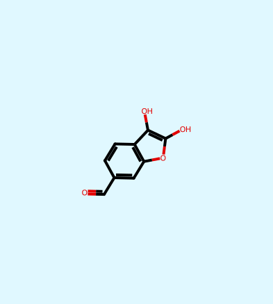 O=Cc1ccc2c(O)c(O)oc2c1